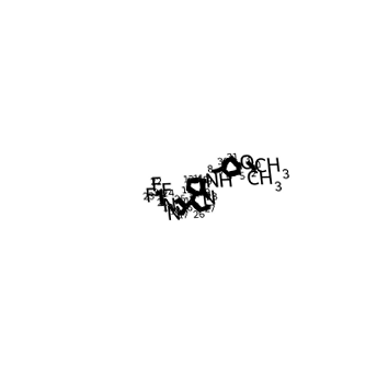 CC(C)Oc1ccc(CNc2cccc3c(-c4cnn(CC(F)(F)F)c4)ccnc23)cc1